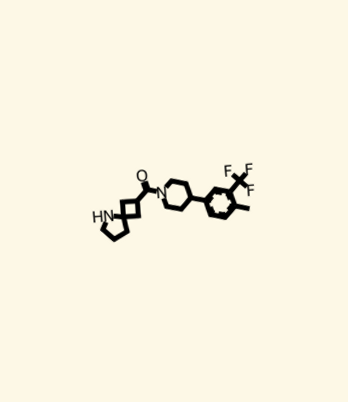 Cc1ccc(C2CCN(C(=O)C3CC4(CCCN4)C3)CC2)cc1C(F)(F)F